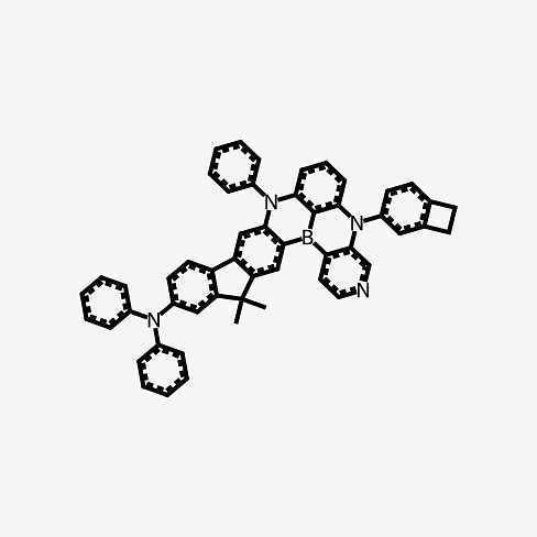 CC1(C)c2cc(N(c3ccccc3)c3ccccc3)ccc2-c2cc3c(cc21)B1c2ccncc2N(c2ccc4c(c2)CC4)c2cccc(c21)N3c1ccccc1